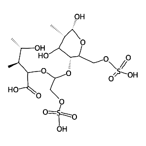 C[C@H](O)[C@H](C)C(OC(COS(=O)(=O)O)O[C@H]1C(COS(=O)(=O)O)O[C@@H](O)[C@@H](C)C1O)C(=O)O